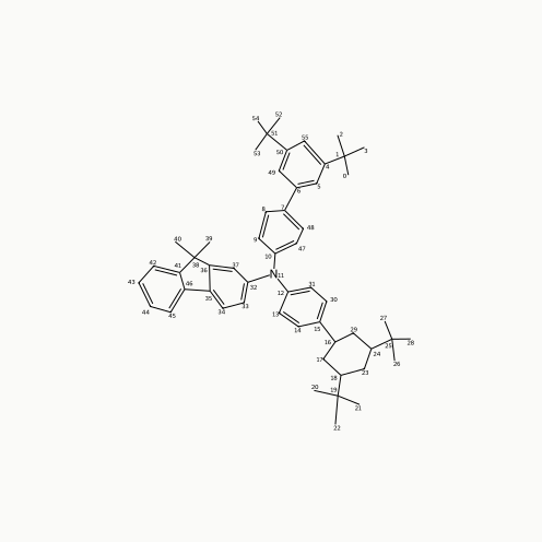 CC(C)(C)c1cc(-c2ccc(N(c3ccc(C4CC(C(C)(C)C)CC(C(C)(C)C)C4)cc3)c3ccc4c(c3)C(C)(C)c3ccccc3-4)cc2)cc(C(C)(C)C)c1